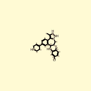 CC1=C2c3ccc(C4=CCNCC4)cc3C(Nc3cc(Cl)ccc3F)CCN2NN1